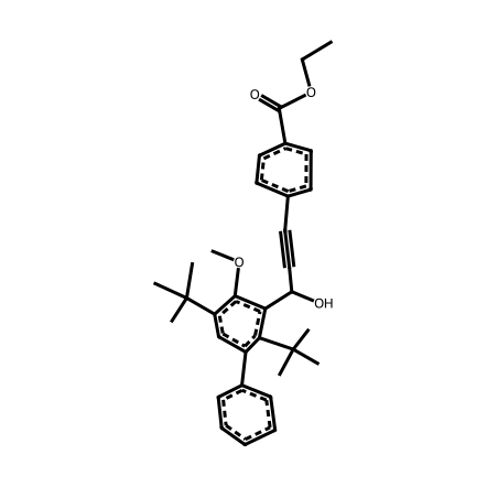 CCOC(=O)c1ccc(C#CC(O)c2c(OC)c(C(C)(C)C)cc(-c3ccccc3)c2C(C)(C)C)cc1